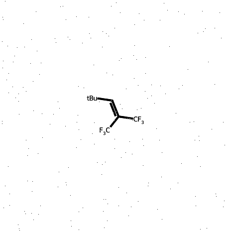 CC(C)(C)C=C(C(F)(F)F)C(F)(F)F